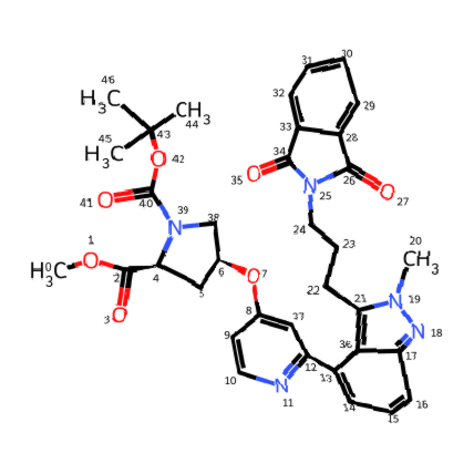 COC(=O)[C@@H]1C[C@H](Oc2ccnc(-c3cccc4nn(C)c(CCCN5C(=O)c6ccccc6C5=O)c34)c2)CN1C(=O)OC(C)(C)C